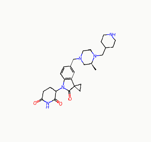 C[C@H]1CN(Cc2ccc3c(c2)C2(CC2)C(=O)N3C2CCC(=O)NC2=O)CCN1CC1CCNCC1